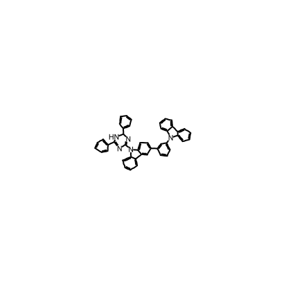 c1ccc(C2=NC(n3c4ccccc4c4cc(-c5cccc(-n6c7ccccc7c7ccccc76)c5)ccc43)=NC(c3ccccc3)N2)cc1